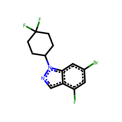 Fc1cc(Br)cc2c1cnn2C1CCC(F)(F)CC1